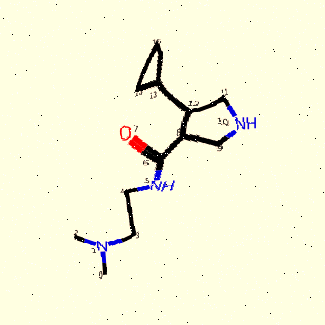 CN(C)CCNC(=O)C1CNCC1C1CC1